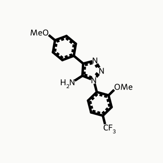 COc1ccc(-c2nnn(-c3ccc(C(F)(F)F)cc3OC)c2N)cc1